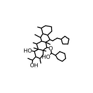 CC(O)C1C(C)CC2(C)C(OC(O)C3CCCCC3)C3(C)C(CCC4CCCC4)C4CCCC(C)C4C(C)C3C(C)C2(C)C1O